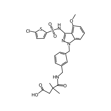 COc1cccc2c1c(NS(=O)(=O)c1ccc(Cl)s1)nn2Cc1cccc(CNC(=O)C(C)(C)CC(=O)O)c1